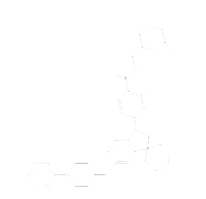 C[C@]1(F)CC(CNC(=O)c2cnc(N3CC4(CCOCC4)c4cc(OC5CCN(c6ncccn6)CC5)ccc43)nc2C(F)(F)F)C[C@H](C(=O)O)C1